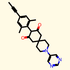 CC#Cc1cc(C)c(C2C(=O)CC3(CCN(c4cncnc4)CC3)CC2=O)c(C)c1